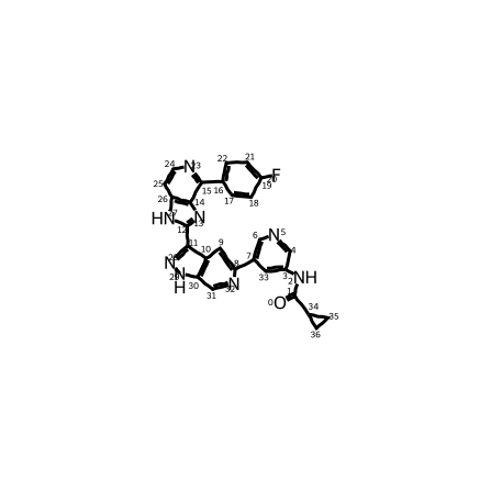 O=C(Nc1cncc(-c2cc3c(-c4nc5c(-c6ccc(F)cc6)nccc5[nH]4)n[nH]c3cn2)c1)C1CC1